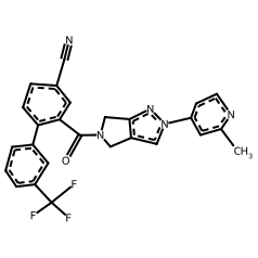 Cc1cc(-n2cc3c(n2)CN(C(=O)c2cc(C#N)ccc2-c2cccc(C(F)(F)F)c2)C3)ccn1